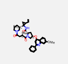 C=CC1CC1(NC(=O)[C@@H]1C[C@@H](Oc2cc(-c3ccccc3)nc3cc(OC)ccc23)CN1C(=O)[C@@H](CC(=O)N1CCCCC1)C(C)(C)C)C(=O)OCC